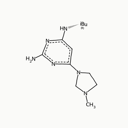 CC[C@@H](C)Nc1cc(N2CCN(C)C2)nc(N)n1